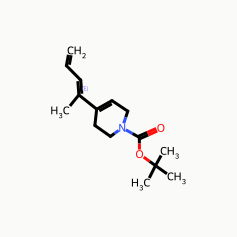 C=C/C=C(\C)C1=CCN(C(=O)OC(C)(C)C)CC1